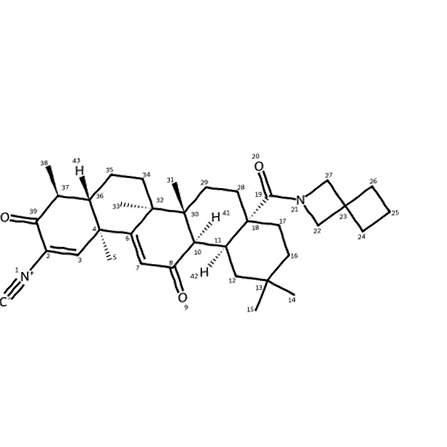 [C-]#[N+]C1=C[C@]2(C)C3=CC(=O)[C@@H]4[C@@H]5CC(C)(C)CC[C@]5(C(=O)N5CC6(CCC6)C5)CC[C@@]4(C)[C@]3(C)CC[C@H]2[C@H](C)C1=O